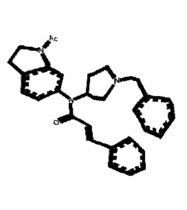 CC(=O)N1CCc2ccc(N(C(=O)C=Cc3ccccc3)C3CCN(Cc4ccccc4)C3)cc21